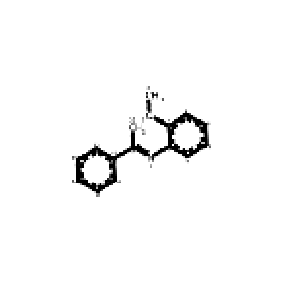 COc1ccccc1N=C(C)c1ccccc1